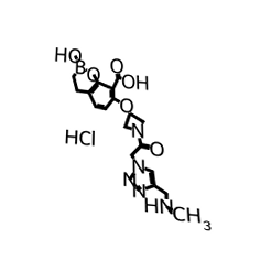 CNCc1cn(CC(=O)N2CC(Oc3ccc4c(c3C(=O)O)OB(O)CC4)C2)nn1.Cl